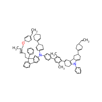 C=CC1=CCC(OC[SiH](C)CCCC2(c3ccccc3)c3ccccc3-c3ccc(N(C4=CCC(C5=CCCCC5)C=C4)c4ccc(-c5cc(C)c(C6=CC7=C(CC6)N(c6ccccc6)C6=CCC(C8=CCC(C=C)CC8)CC67)cc5C)cc4)cc32)C=C1